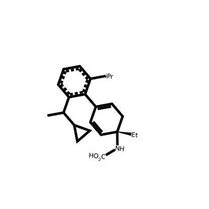 CC[C@@]1(NC(=O)O)C=CC(c2c(C(C)C)cccc2C(C)C2CC2)=CC1